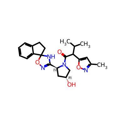 Cc1cc(C(C(=O)N2C[C@H](O)C[C@H]2C2=NOC3(CCc4ccccc43)N2)C(C)C)on1